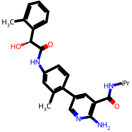 Cc1cc(NC(=O)[C@@H](O)c2ccccc2C)ccc1-c1cnc(N)c(C(=O)NC(C)C)c1